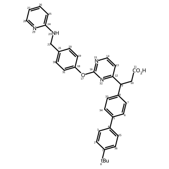 CC(C)(C)c1ccc(-c2ccc(C(CC(=O)O)c3ccnc(Oc4ccc(CNc5ccccn5)cc4)n3)cc2)cc1